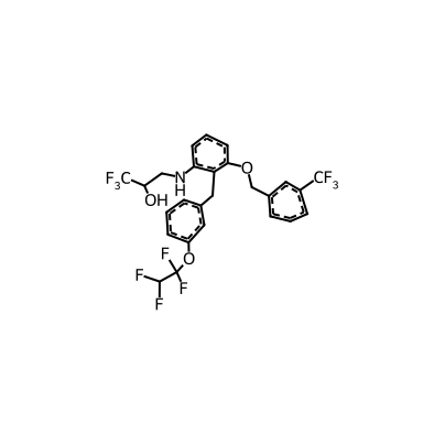 OC(CNc1cccc(OCc2cccc(C(F)(F)F)c2)c1Cc1cccc(OC(F)(F)C(F)F)c1)C(F)(F)F